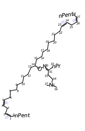 CCCCC/C=C\C/C=C\CCCCCCCCC(CCCCCCCC/C=C\C/C=C\CCCCC)ON=C(CCC)CCN(C)C